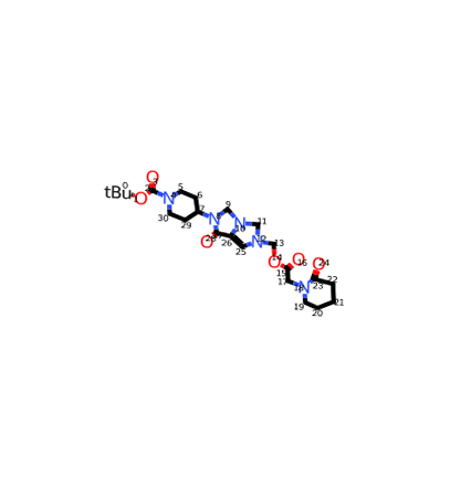 CC(C)(C)OC(=O)N1CCC(N2CN3CN(COC(=O)CN4CCCCC4=O)C=C3C2=O)CC1